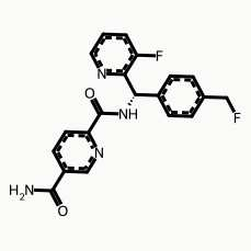 NC(=O)c1ccc(C(=O)N[C@@H](c2ccc(CF)cc2)c2ncccc2F)nc1